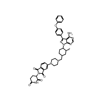 Nc1ncnc2c1c(-c1ccc(Oc3ccccc3)cc1)nn2C1CCC(CN2CCN(c3ccc4c(c3)C(=O)N(C3CCC(=O)NC3=O)C4=O)CC2)CC1F